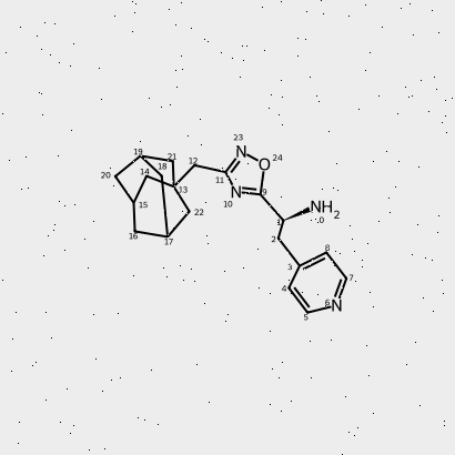 N[C@@H](Cc1ccncc1)c1nc(CC23CC4CC(CC(C4)C2)C3)no1